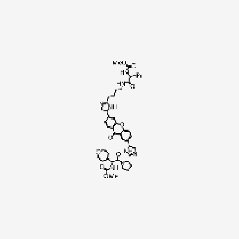 COC(=O)N[C@H](C(=O)NCCCCC1=NCC(c2ccc3c(=O)c4cc(C5CN=C([C@@H]6CCCN6C(=O)[C@@H](NC(=O)OC)C6CCOCC6)N5)ccc4oc3c2)N1)C(C)C